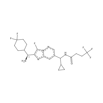 N[C@H](c1nc2cc(C(NC(=O)CCC(F)(F)F)C3CC3)cnn2c1F)C1CCC(F)(F)CC1